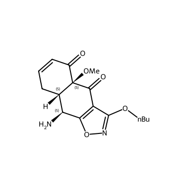 CCCCOc1noc2c1C(=O)[C@@]1(OC)C(=O)C=CC[C@H]1[C@@H]2N